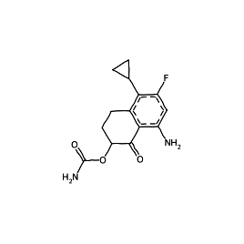 NC(=O)OC1CCc2c(c(N)cc(F)c2C2CC2)C1=O